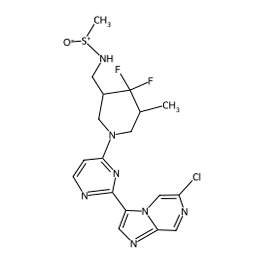 CC1CN(c2ccnc(-c3cnc4cnc(Cl)cn34)n2)CC(CN[S+](C)[O-])C1(F)F